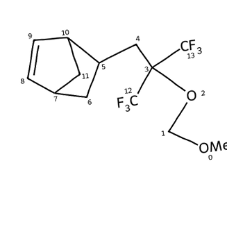 COCOC(CC1CC2C=CC1C2)(C(F)(F)F)C(F)(F)F